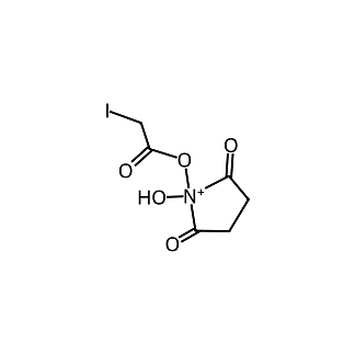 O=C(CI)O[N+]1(O)C(=O)CCC1=O